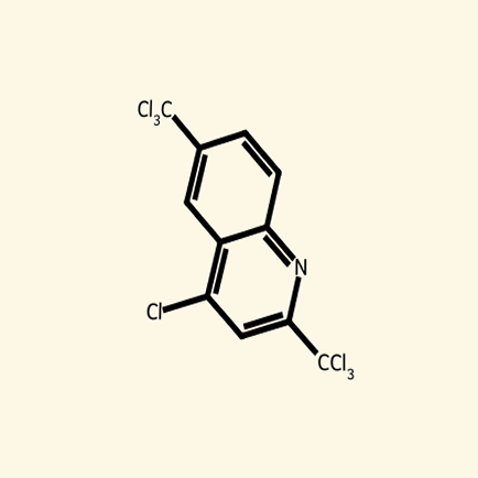 Clc1cc(C(Cl)(Cl)Cl)nc2ccc(C(Cl)(Cl)Cl)cc12